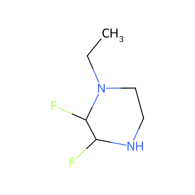 CCN1CCNC(F)C1F